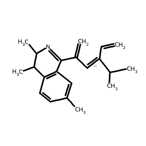 C=C/C(=C\C(=C)C1=NC(C)C(C)c2ccc(C)cc21)C(C)C